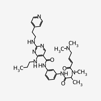 CCCNc1nc(NCCc2ccncc2)ncc1C(=O)Nc1cccc(NC(=O)C(C)N(C)C(=O)C=CCN(C)C)c1